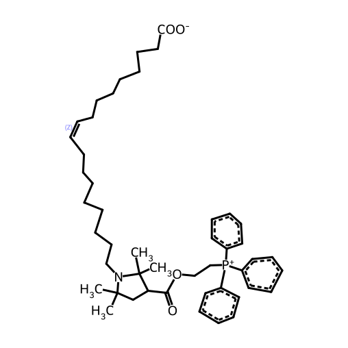 CC1(C)CC(C(=O)OCC[P+](c2ccccc2)(c2ccccc2)c2ccccc2)C(C)(C)N1CCCCCCCC/C=C\CCCCCCCC(=O)[O-]